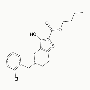 CCCCOC(=O)c1sc2c(c1O)CN(Cc1ccccc1Cl)CC2